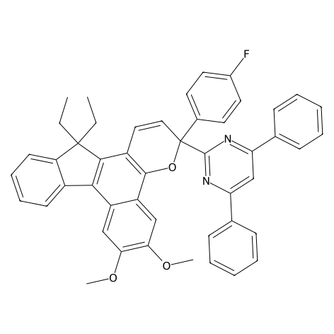 CCC1(CC)c2ccccc2-c2c1c1c(c3cc(OC)c(OC)cc23)OC(c2ccc(F)cc2)(c2nc(-c3ccccc3)cc(-c3ccccc3)n2)C=C1